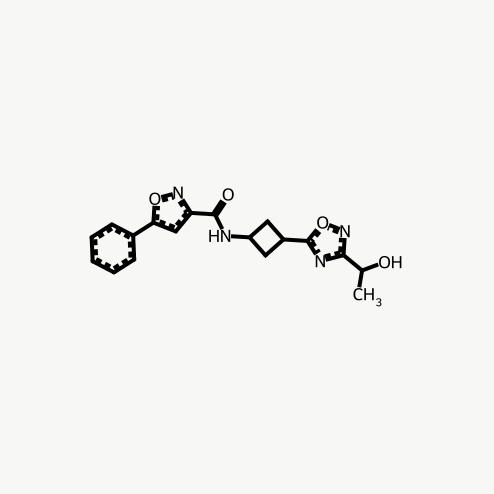 CC(O)c1noc(C2CC(NC(=O)c3cc(-c4ccccc4)on3)C2)n1